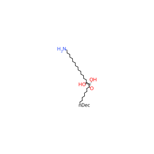 CCCCCCCCCCCCCCCCCC(=O)[C@@H](CO)[C@H](O)CCCCCCCCCCCCCCCN